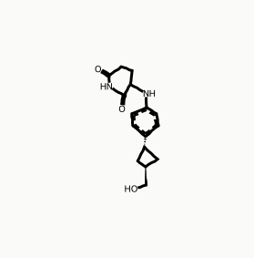 O=C1CCC(Nc2ccc([C@H]3C[C@H](CO)C3)cc2)C(=O)N1